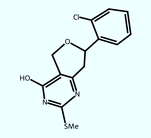 CSc1nc(O)c2c(n1)CC(c1ccccc1Cl)OC2